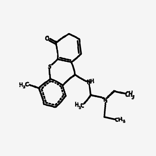 CCN(CC)C(C)NC1C2=C(Sc3c(C)cccc31)C(=O)CC=C2